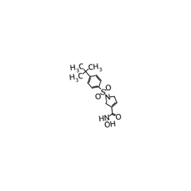 CC(C)(C)c1ccc(S(=O)(=O)N2CC=C(C(=O)NO)C2)cc1